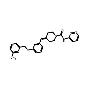 Cc1cccc(COc2cccc(C=C3CCN(C(=O)Nc4cccnn4)CC3)c2)n1